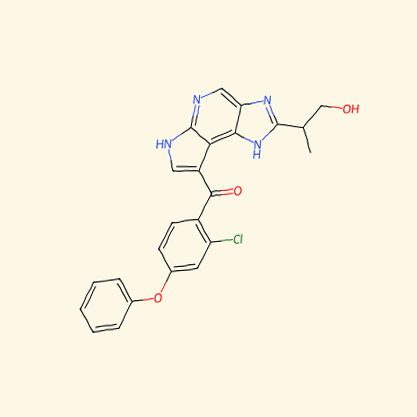 CC(CO)c1nc2cnc3[nH]cc(C(=O)c4ccc(Oc5ccccc5)cc4Cl)c3c2[nH]1